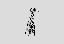 COc1c(Cc2ccc(-c3nn(-c4ccc(N5CCC(C(OC)OC)CC5)c(F)c4)c4ncnc(N)c34)cc2)cc(F)cc1C(N)=O